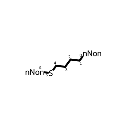 CCCCCCCCCCCCCSCCCCCCCCC